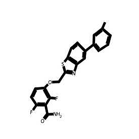 Cc1cccc(-c2ccc3sc(COc4ccc(F)c(C(N)=O)c4F)nc3c2)c1